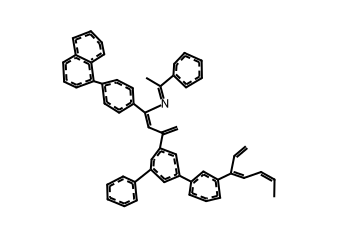 C=C/C(=C\C=C/C)c1cccc(-c2cc(C(=C)/C=C(\N=C(/C)c3ccccc3)c3ccc(-c4cccc5ccccc45)cc3)cc(-c3ccccc3)c2)c1